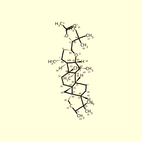 CC(=O)O[C@@H]([C@H]1C[C@@H](C)[C@H]2[C@H](O1)[C@H](C)[C@@]1(C)[C@@H]3CC[C@@H]4C(C)(C)C(C)CC[C@@]45C[C@@]35CC[C@]21C)C(C)(C)C